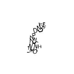 CC[C@H]1C(=O)Nc2c(C)nc(N=C3CC(Oc4cccc(C(F)(F)F)n4)C3)nc2N1C